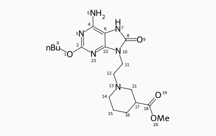 CCCCOc1nc(N)c2[nH]c(=O)n(CCN3CCCC(C(=O)OC)C3)c2n1